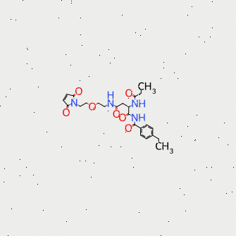 CCC(=O)NC(CC(=O)NCCOCCN1C(=O)C=CC1=O)C(=O)NC(=O)c1ccc(CC)cc1